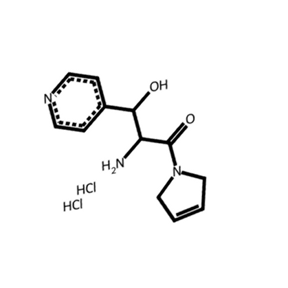 Cl.Cl.NC(C(=O)N1CC=CC1)C(O)c1ccncc1